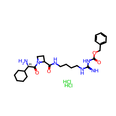 Cl.Cl.N=C(NCCCCNC(=O)C1CCN1C(=O)[C@H](N)C1CCCCC1)NC(=O)OCc1ccccc1